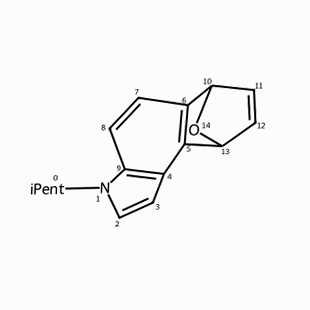 CCCC(C)n1ccc2c3c(ccc21)C1C=CC3O1